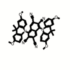 COc1ccc2c(c1)C(C)(C)c1cc(OC)ccc1N2c1c(C#N)c(C#N)cc2c(N3c4ccc(OC)cc4C(C)(C)c4cc(OC)ccc43)c(C#N)c(C#N)cc12